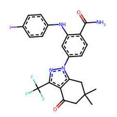 CC1(C)CC(=O)c2c(C(F)(F)F)nn(-c3ccc(C(N)=O)c(Nc4ccc(I)cc4)c3)c2C1